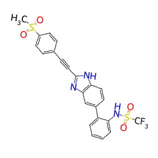 CS(=O)(=O)c1ccc(C#Cc2nc3cc(-c4ccccc4NS(=O)(=O)C(F)(F)F)ccc3[nH]2)cc1